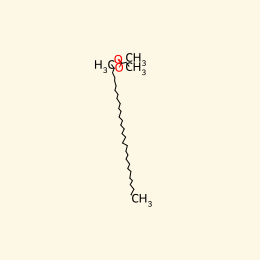 CCCCCCCCCCCCCCCCCCCCCCCCCCCCCCC(C)OC(=O)C(C)C